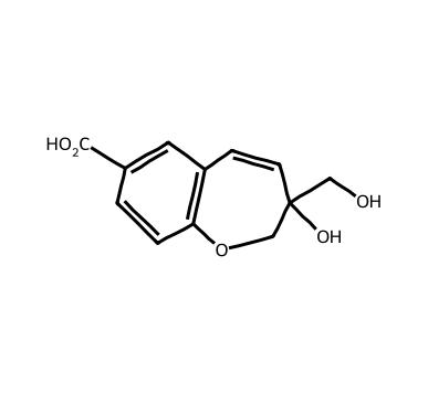 O=C(O)c1ccc2c(c1)C=CC(O)(CO)CO2